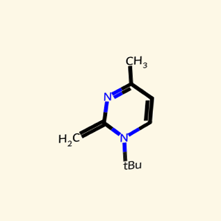 C=C1N=C(C)C=CN1C(C)(C)C